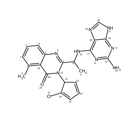 Cc1cccc2nc(C(C)Nc3nc(N)nc4[nH]cnc34)n(C3C=CC=C3Cl)c(=O)c12